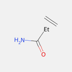 C=C.CCC(N)=O